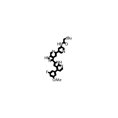 COc1cc(F)cc(-c2ccnc3[nH]c(-c4n[nH]c5cnc(-c6cncc(NC(=O)CC(C)(C)C)c6)cc45)cc23)c1